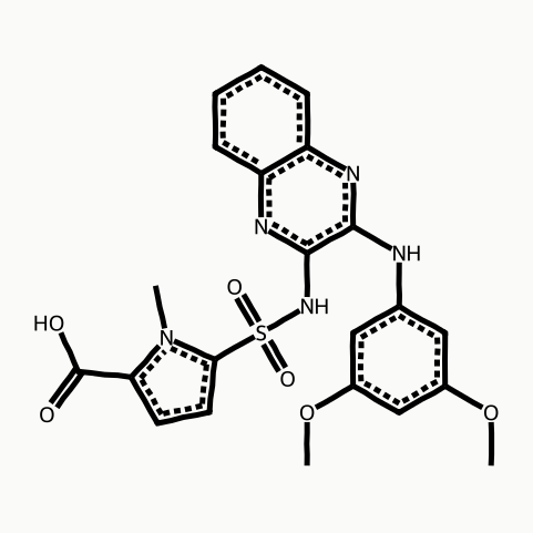 COc1cc(Nc2nc3ccccc3nc2NS(=O)(=O)c2ccc(C(=O)O)n2C)cc(OC)c1